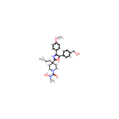 CCCC1(c2nc(-c3ccc(OC)cc3)c(-c3ccc(CO)cc3)o2)CCN(C(=O)N(C)O)CC1